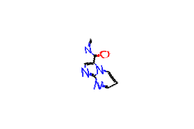 C=NC(=O)c1cnc2ncccn12